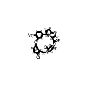 Cl.N#Cc1ccc2cc1Oc1ccc(Cl)c(c1)CN1CCN(CC1=O)C(=O)c1cnc3n1[C@@H]2CC3